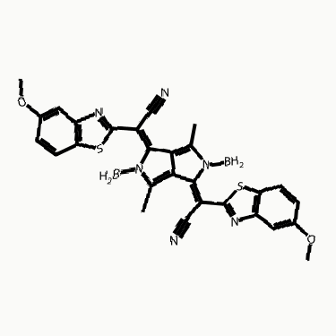 Bn1c(C)c2/c(=C(\C#N)c3nc4cc(OC)ccc4s3)n(B)c(C)c2/c1=C(\C#N)c1nc2cc(OC)ccc2s1